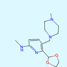 CNc1ccc(CN2CCN(C)CC2)c(C2OCCO2)n1